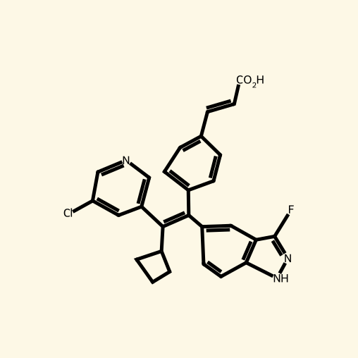 O=C(O)/C=C/c1ccc(/C(=C(\c2cncc(Cl)c2)C2CCC2)c2ccc3[nH]nc(F)c3c2)cc1